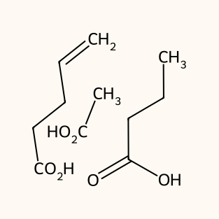 C=CCCC(=O)O.CC(=O)O.CCCC(=O)O